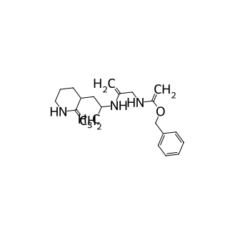 C=C(CNC(=C)OCc1ccccc1)NC(C)CC1CCCNC1=C